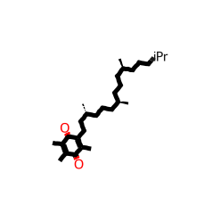 CC1=C(C)C(=O)C(CC[C@H](C)CCC[C@H](C)CCC[C@@H](C)CCCC(C)C)=C(C)C1=O